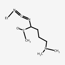 CCN=C=NC(CCCN(C)C)[S+](C)[O-]